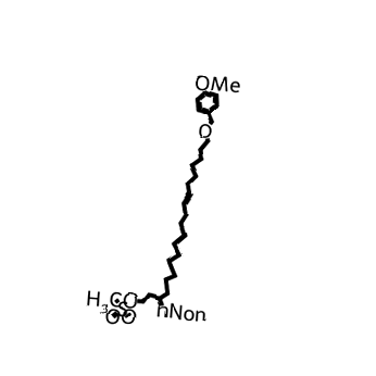 CCCCCCCCCC(CCCCCCCCCC=CCCCCCCOCc1ccc(OC)cc1)CCOS(C)(=O)=O